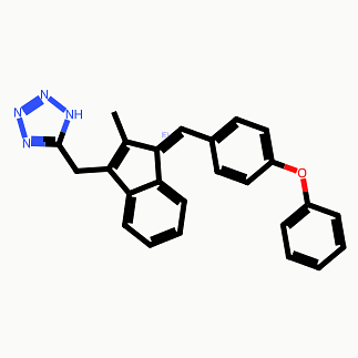 CC1=C(Cc2nnn[nH]2)c2ccccc2/C1=C\c1ccc(Oc2ccccc2)cc1